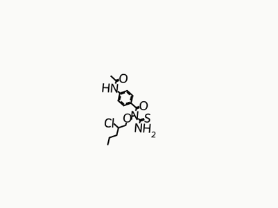 CCCC(Cl)CON(C(=O)c1ccc(NC(C)=O)cc1)C(N)=S